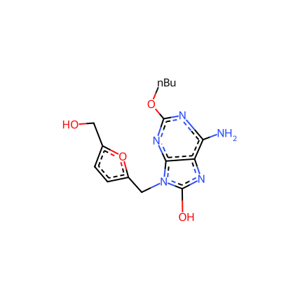 CCCCOc1nc(N)c2nc(O)n(Cc3ccc(CO)o3)c2n1